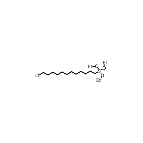 CCO[Si](CCCCCCCCCCCCCl)(OCC)OCC